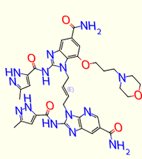 Cc1cc(C(=O)Nc2nc3cc(C(N)=O)cnc3n2C/C=C/Cn2c(NC(=O)c3cc(C)n[nH]3)nc3cc(C(N)=O)cc(OCCCN4CCOCC4)c32)[nH]n1